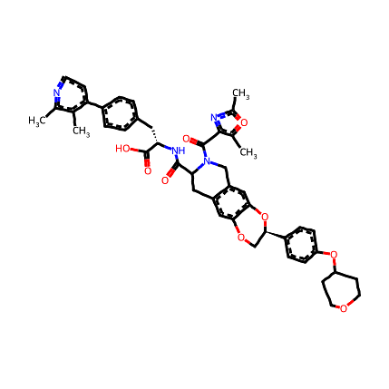 Cc1nc(C(=O)N2Cc3cc4c(cc3CC2C(=O)N[C@@H](Cc2ccc(-c3ccnc(C)c3C)cc2)C(=O)O)OC[C@H](c2ccc(OC3CCOCC3)cc2)O4)c(C)o1